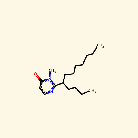 CCCCCCCC(CCCC)c1nccc(=O)n1C